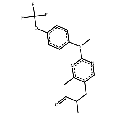 Cc1nc(N(C)c2ccc(OC(F)(F)F)cc2)ncc1CC(C)C=O